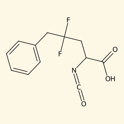 O=C=NC(CC(F)(F)Cc1ccccc1)C(=O)O